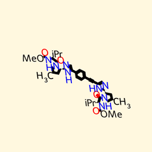 COC(=O)N[C@H](C(=O)N1C[C@@H](C)C[C@H]1c1ncc(-c2ccc(C#Cc3cnc([C@@H]4C[C@H](C)CN4C(=O)[C@H](NC(=O)OC)C(C)C)[nH]3)cc2)[nH]1)C(C)C